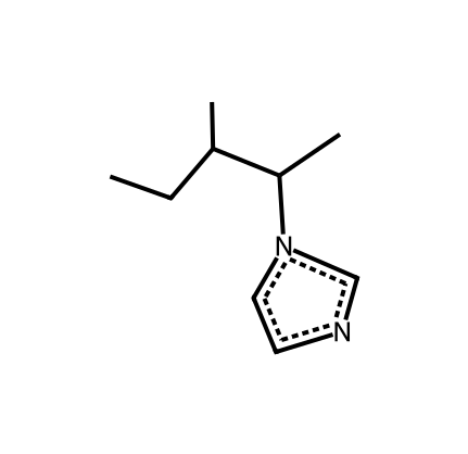 CCC(C)C(C)n1ccnc1